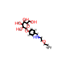 CC(C)CCOCCNCc1ccc(OC2OC(CO)C(O)C(O)C2O)cc1